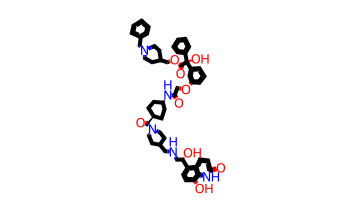 O=C(COc1cccc([C@](O)(C(=O)OCC2CCN(Cc3ccccc3)CC2)c2ccccc2)c1)N[C@H]1CC[C@H](C(=O)N2CCC(CNC[C@H](O)c3ccc(O)c4[nH]c(=O)ccc34)CC2)CC1